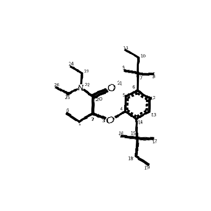 CCC(Oc1cc(C(C)(C)CC)ccc1C(C)(C)CC)C(=O)N(CC)CC